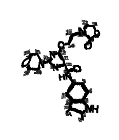 Cc1[nH]c2ccc(NC(=O)c3cc(OCCN4CCOC4=O)nc(N4CCOCC4)n3)cc2c1C